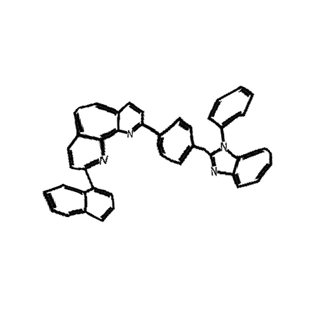 c1ccc(-n2c(-c3ccc(-c4ccc5ccc6ccc(-c7cccc8ccccc78)nc6c5n4)cc3)nc3ccccc32)cc1